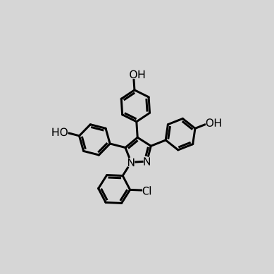 Oc1ccc(-c2nn(-c3ccccc3Cl)c(-c3ccc(O)cc3)c2-c2ccc(O)cc2)cc1